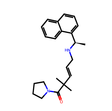 C[C@@H](NC/C=C/C(C)(C)C(=O)N1CCCC1)c1cccc2ccccc12